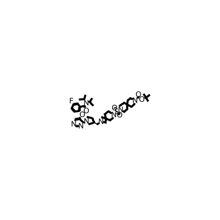 CC(C)N(C(=O)c1cc(F)ccc1Oc1cncnc1N1CC[C@@H](CN2CC3(CCN(S(=O)(=O)N4CCC5(CCN(C(=O)OC(C)(C)C)CC5)CC4)CC3)C2)C1)C(C)C